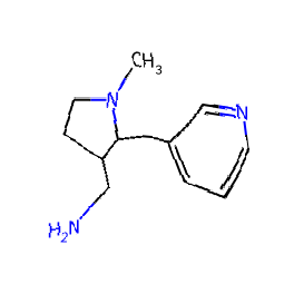 CN1CCC(CN)C1c1cccnc1